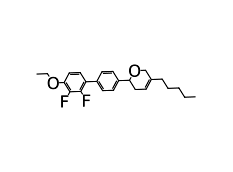 CCCCCC1=CCC(c2ccc(-c3ccc(OCC)c(F)c3F)cc2)OC1